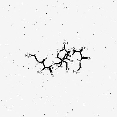 C=C(C(=O)OCC)C(=O)OCC(CC)(COC(=O)C(C)C(=O)OCC)COC(O)C(=C)C(O)OCC